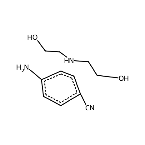 N#Cc1ccc(N)cc1.OCCNCCO